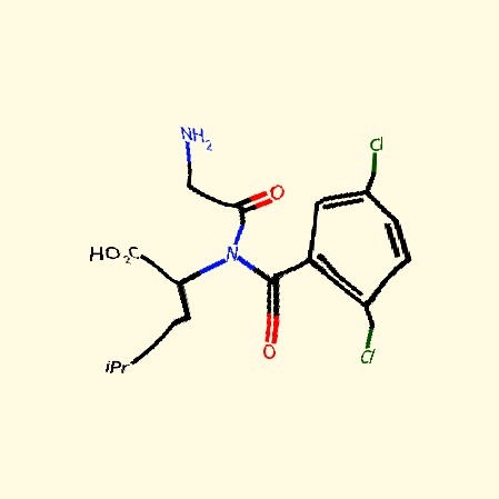 CC(C)CC(C(=O)O)N(C(=O)CN)C(=O)c1cc(Cl)ccc1Cl